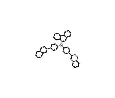 C1=C(c2ccc(N(c3ccc(-c4ccc5ccccc5c4)cc3)c3cc4ccccc4c4ccccc34)cc2)CCc2ccccc21